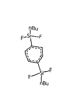 CCCC[Si](F)(F)c1ccc([Si](F)(F)CCCC)cc1